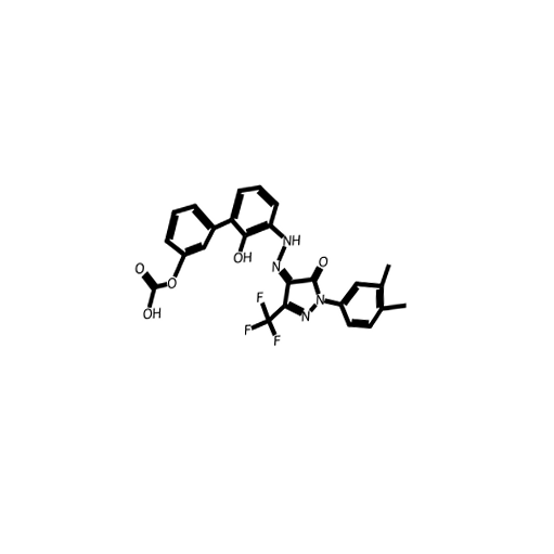 Cc1ccc(N2N=C(C(F)(F)F)C(=NNc3cccc(-c4cccc(OC(=O)O)c4)c3O)C2=O)cc1C